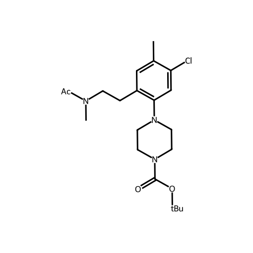 CC(=O)N(C)CCc1cc(C)c(Cl)cc1N1CCN(C(=O)OC(C)(C)C)CC1